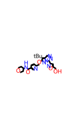 CC(C)(C)c1c(OCc2ccc(C(=O)NC3CCOCC3)cn2)nn2c(-c3cc(CO)on3)nncc12